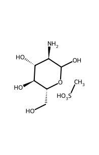 CS(=O)(=O)O.N[C@H]1C(O)O[C@H](CO)[C@@H](O)[C@@H]1O